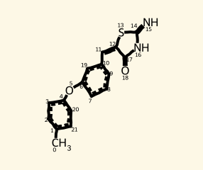 Cc1ccc(Oc2cccc(C=C3SC(=N)NC3=O)c2)cc1